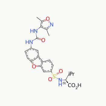 Cc1noc(C)c1NC(=O)Nc1ccc2oc3cc(S(=O)(=O)N[C@H](C(=O)O)C(C)C)ccc3c2c1